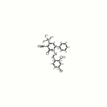 N#Cc1c(C(F)(F)F)cc(-c2ccccc2)n(/N=C/c2ccc(Br)cc2O)c1=O